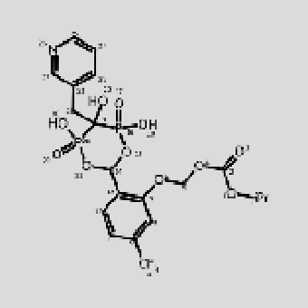 CC(C)OC(=O)OCOc1cc(C(F)(F)F)ccc1C1OP(=O)(O)C(O)(Cc2cccnc2)P(=O)(O)O1